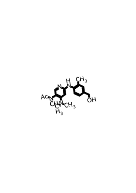 CC(=O)N(C)c1cnc(Nc2ccc(CO)cc2C)cc1N(C)C